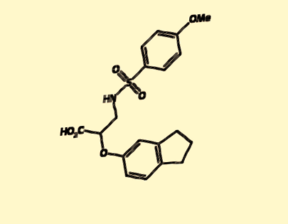 COc1ccc(S(=O)(=O)NCC(Oc2ccc3c(c2)CCC3)C(=O)O)cc1